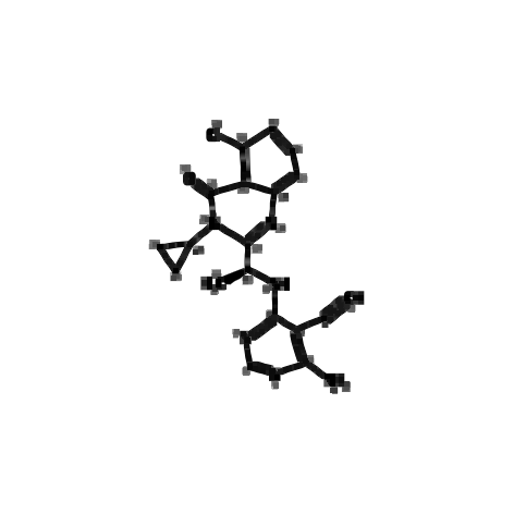 C#Cc1c(N)ncnc1N[C@@H](C)c1nc2cccc(Cl)c2c(=O)n1C1CC1